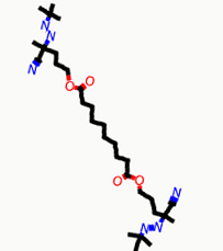 CC(C)(C)N=NC(C)(C#N)CCCOC(=O)CCCCCCCCC(=O)OCCCC(C)(C#N)N=NC(C)(C)C